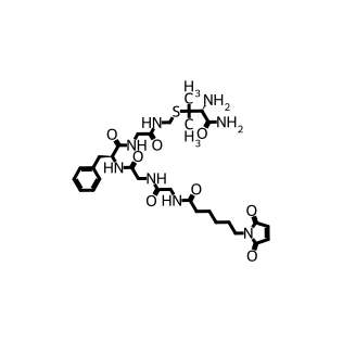 CC(C)(SCNC(=O)CNC(=O)[C@H](Cc1ccccc1)NC(=O)CNC(=O)CNC(=O)CCCCCN1C(=O)C=CC1=O)[C@H](N)C(N)=O